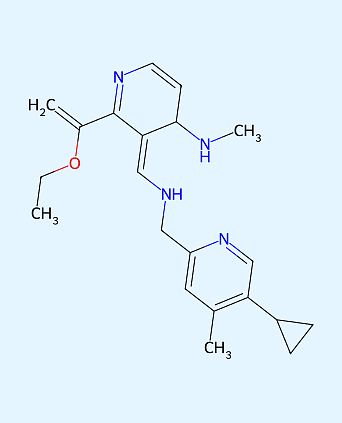 C=C(OCC)C1=NC=CC(NC)/C1=C\NCc1cc(C)c(C2CC2)cn1